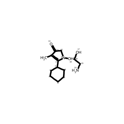 CC1=C(C2CCCCC2)N(O)CC1=O.NCCO